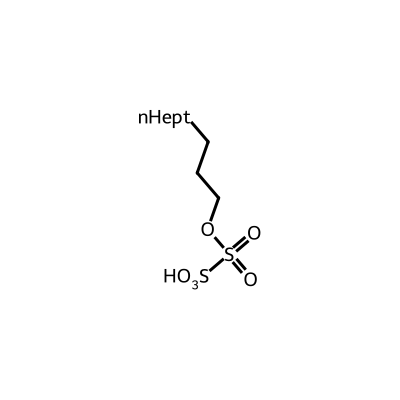 CCCCCCCCCCOS(=O)(=O)S(=O)(=O)O